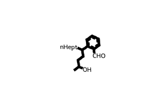 CCCCCCCC(CCC(C)O)c1ccccc1C=O